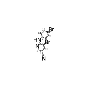 N#Cc1cnc(Nc2ccc(Br)cc2)c(Br)c1